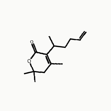 C=CCCC(C)C1=C(C)CC(C)(C)OC1=O